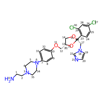 NCCN1CCN(c2ccc(OC[C@@H]3CO[C@@](Cn4ccnc4)(c4ccc(Cl)cc4Cl)O3)cc2)CC1